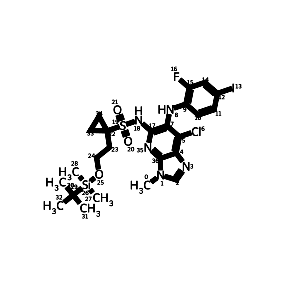 Cn1cnc2c(Cl)c(Nc3ccc(I)cc3F)c(NS(=O)(=O)C3(CCO[Si](C)(C)C(C)(C)C)CC3)nc21